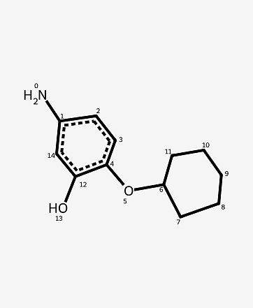 Nc1ccc(OC2CCCCC2)c(O)c1